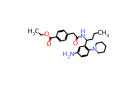 CCCC(NC(=O)Cc1ccc(C(=O)OCC)cc1)c1cc(N)ccc1N1CCCCC1